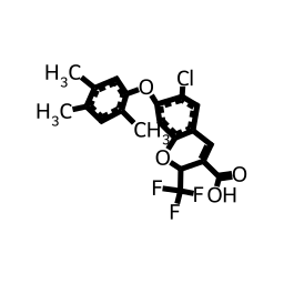 Cc1cc(C)c(Oc2cc3c(cc2Cl)C=C(C(=O)O)C(C(F)(F)F)O3)cc1C